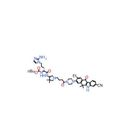 CCCCOC(=O)N[C@H](CCCn1ccnc1N)C(=O)N[C@H]1CN(CCCC(=O)N2CCN(c3cc4c(cc3CC)C(=O)c3c([nH]c5cc(C#N)ccc35)C4(C)C)CC2)CC1(C)C